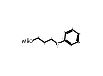 COCCCOc1[c]cccc1